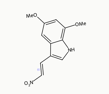 COc1cc(OC)c2[nH]cc(/C=C/[N+](=O)[O-])c2c1